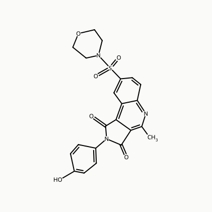 Cc1nc2ccc(S(=O)(=O)N3CCOCC3)cc2c2c1C(=O)N(c1ccc(O)cc1)C2=O